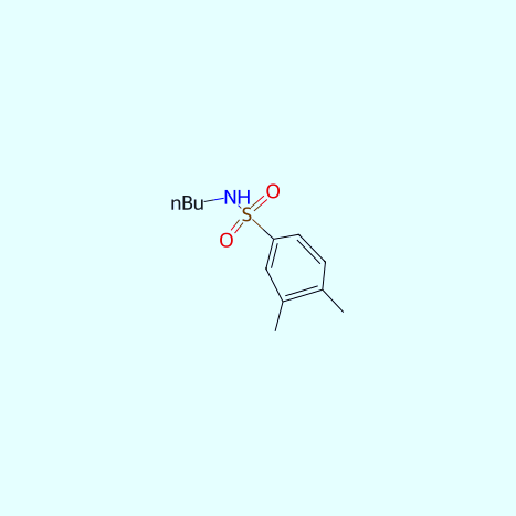 CCCCNS(=O)(=O)c1ccc(C)c(C)c1